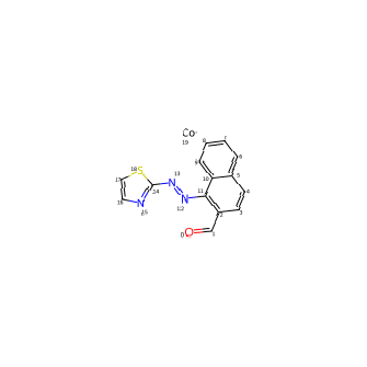 O=Cc1ccc2ccccc2c1N=Nc1nccs1.[Co]